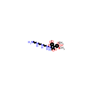 COc1cc(C2c3cc4c(cc3C(NC(=O)NCCCNCCCNCCCN)C3COC(=O)C23)OCO4)cc(OC)c1O